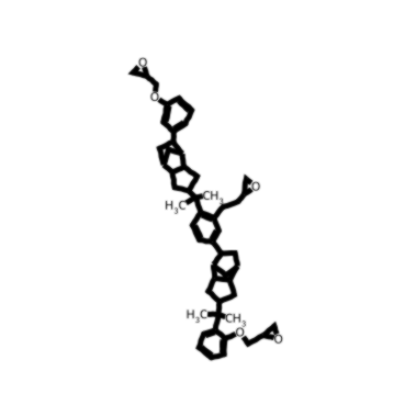 CC(C)(c1ccc(C2CC3CC2C2CC(C(C)(C)c4ccccc4OCC4CO4)CC32)cc1CCC1CO1)C1CC2C3CC(c4cccc(OCC5CO5)c4)C(C3)C2C1